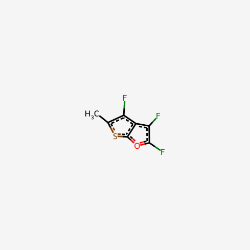 Cc1sc2oc(F)c(F)c2c1F